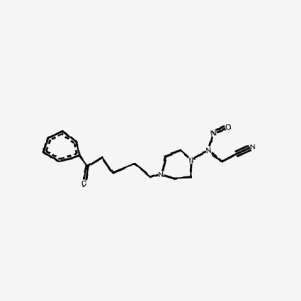 N#CCN(N=O)N1CCN(CCCCC(=O)c2ccccc2)CC1